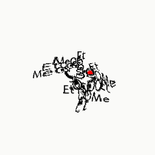 CCO[Si]1(OC)CC[Si]2(OCC)O[Si](OC)(OCC)O[Si](OC)(OCC)O[Si](OCC)(O2)O[Si](OC)(OCC)O1